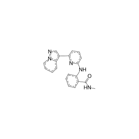 CNC(=O)c1ccccc1Nc1cccc(-c2cnn3ccccc23)n1